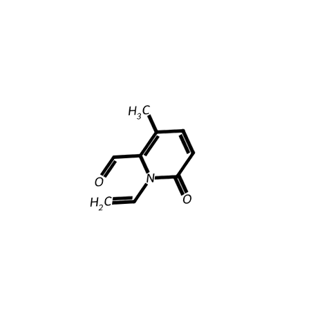 C=Cn1c(C=O)c(C)ccc1=O